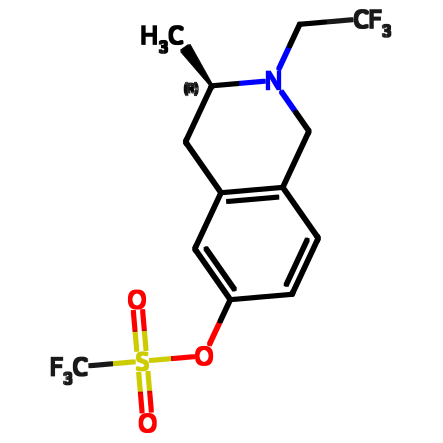 C[C@@H]1Cc2cc(OS(=O)(=O)C(F)(F)F)ccc2CN1CC(F)(F)F